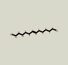 ICCCCCC=CCCCCCI